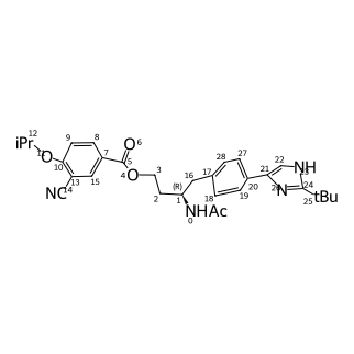 CC(=O)N[C@@H](CCOC(=O)c1ccc(OC(C)C)c(C#N)c1)Cc1ccc(-c2c[nH]c(C(C)(C)C)n2)cc1